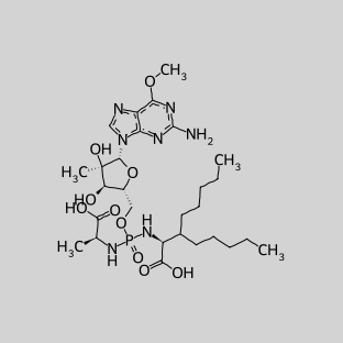 CCCCCC(CCCCC)[C@H](NP(=O)(N[C@@H](C)C(=O)O)OC[C@H]1O[C@@H](n2cnc3c(OC)nc(N)nc32)[C@](C)(O)[C@@H]1O)C(=O)O